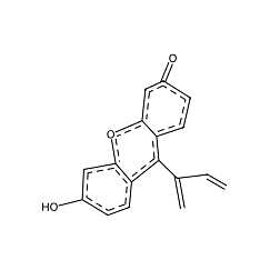 C=CC(=C)c1c2ccc(=O)cc-2oc2cc(O)ccc12